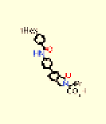 CCCCCCc1ccc(C(=O)Nc2ccc(-c3ccc4c(c3)C(=O)N(C(C(=O)O)C(C)C)C4)cc2)cc1